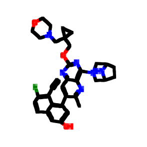 C#Cc1c(F)ccc2cc(O)cc(-c3cc4nc(OCC5(CN6CCOCC6)CC5)nc(N5CC6CCC(C5)N6)c4nc3C)c12